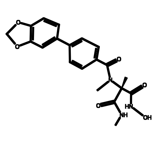 CNC(=O)[C@@](C)(C(=O)NO)N(C)C(=O)c1ccc(-c2ccc3c(c2)OCO3)cc1